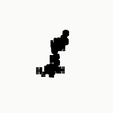 CC(C)[C@H](N)C(=O)N1CC2(CC2)C[C@H]1c1nc(-c2ccc3c(c2)C(F)(F)c2cc(-c4ccc5nc([C@@H]6[C@H]7CC[C@H](C7)N6C(=O)[C@@H](NC(=O)OCc6ccccc6)C(C)C)[nH]c5c4)ccc2-3)c[nH]1